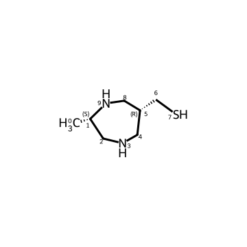 C[C@H]1CNC[C@@H](CS)CN1